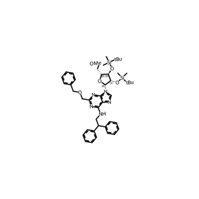 COC[C@H]1O[C@@H](n2cnc3c(NCC(c4ccccc4)c4ccccc4)nc(COCc4ccccc4)nc32)[C@@H](O[Si](C)(C)C(C)(C)C)[C@@H]1O[Si](C)(C)C(C)(C)C